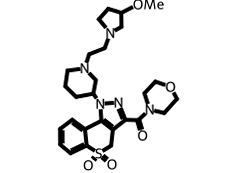 COC1CCN(CCN2CCCC(n3nc(C(=O)N4CCOCC4)c4c3-c3ccccc3S(=O)(=O)C4)C2)C1